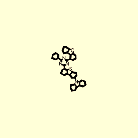 c1ccc(-c2nc(-c3cccc4c3sc3ccc(-n5c6ccccc6c6ccccc65)cc34)nc(-c3cccc4oc5ccccc5c34)n2)cc1